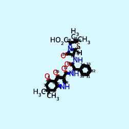 CC1(C)CC(=O)c2c([nH]cc(C(=O)NC(C(=O)N[C@@H]3C(=O)N4[C@@H]3SC(C)(C)[C@@H]4C(=O)O)c3ccccc3)c2=O)C1